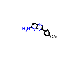 CC(=O)Oc1ccc(-c2cnc3ccc(N)nc3n2)cc1